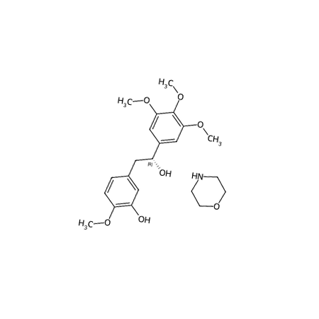 C1COCCN1.COc1ccc(C[C@@H](O)c2cc(OC)c(OC)c(OC)c2)cc1O